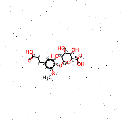 COc1cc(CCC(=O)O)ccc1OC1O[C@H](C(=O)O)[C@@H](O)[C@H](O)[C@H]1O